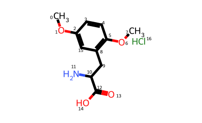 COc1ccc(OC)c(CC(N)C(=O)O)c1.Cl